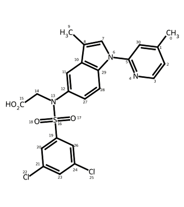 Cc1ccnc(-n2cc(C)c3cc(N(CC(=O)O)S(=O)(=O)c4cc(Cl)cc(Cl)c4)ccc32)c1